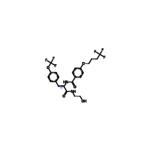 O=C(NCCO)/C(=C/c1ccc(OC(F)(F)F)cc1)NC(=O)c1ccc(OCCCC(F)(F)F)cc1